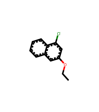 CCOc1[c]c(Cl)c2ccccc2c1